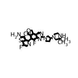 CC1(C)CN(C2CCN(c3ncc4c5c(c(-c6ncc(F)c7sc(N)c(C#N)c67)c(F)c4n3)COC5)C2)CCN1